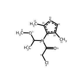 COC(C)N(C(=O)CCl)c1c(C)csc1C